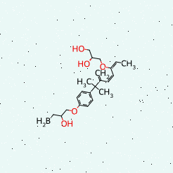 BCC(O)COc1ccc(C(C)(C)C(=C)/C=C\C(=C/C)OC[C@@H](O)CO)cc1